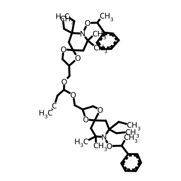 CCCC(OCC1COC2(CC(C)(C)N(OC(C)c3ccccc3)C(CC)(CC)C2)O1)OCC1COC2(CC(C)(C)N(OC(C)c3ccccc3)C(CC)(CC)C2)O1